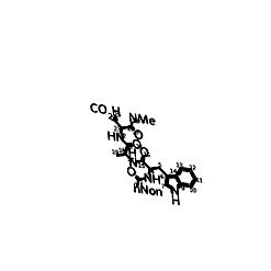 CCCCCCCCCC(=O)NC(Cc1c[nH]c2ccccc12)C(=O)NC(C)C(=O)NC(CC(=O)O)C(=O)NC